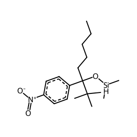 CCCCCC(O[SiH](C)C)(c1ccc([N+](=O)[O-])cc1)C(C)(C)C